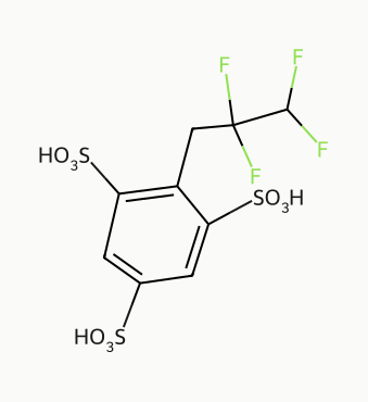 O=S(=O)(O)c1cc(S(=O)(=O)O)c(CC(F)(F)C(F)F)c(S(=O)(=O)O)c1